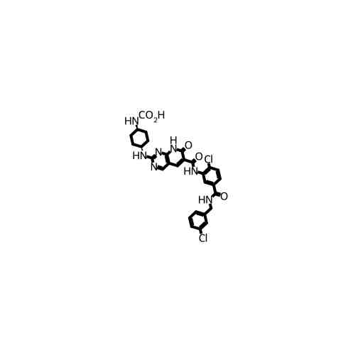 O=C(O)N[C@H]1CC[C@H](Nc2ncc3cc(C(=O)Nc4cc(C(=O)NCc5cccc(Cl)c5)ccc4Cl)c(=O)[nH]c3n2)CC1